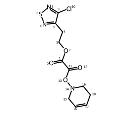 O=C(OCCc1nsnc1Cl)C(=O)ON1CC=CCC1